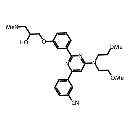 CNCC(O)COc1cccc(-c2nc(-c3cccc(C#N)c3)cc(N(CCOC)CCOC)n2)c1